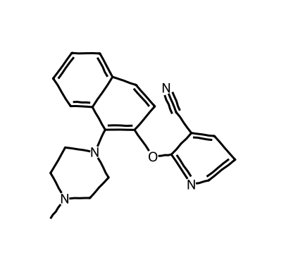 CN1CCN(c2c(Oc3ncccc3C#N)ccc3ccccc23)CC1